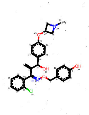 C=C(/C(=N\OCc1ccc(O)cc1)c1ccccc1Cl)C(O)c1ccc(OC2CN(CCC)C2)cc1